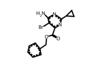 Nc1nc(C2CC2)nc(C(=O)OCc2ccccc2)c1Br